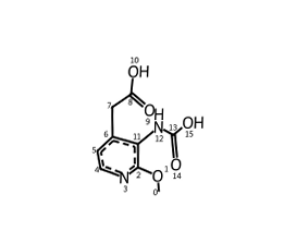 COc1nccc(CC(=O)O)c1NC(=O)O